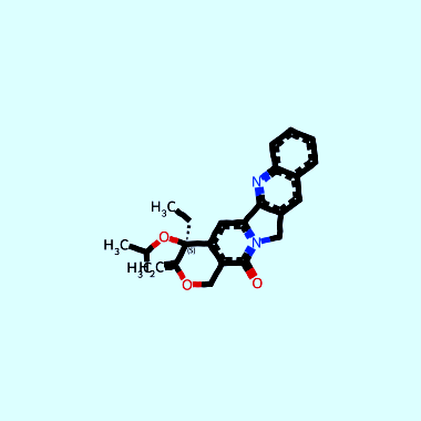 C=C1OCc2c(cc3n(c2=O)Cc2cc4ccccc4nc2-3)[C@]1(CC)OC(C)C